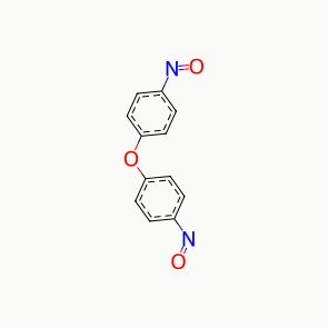 O=Nc1ccc(Oc2ccc(N=O)cc2)cc1